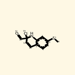 CSc1ccc2c(c1)NC(Cl)(C=O)C=C2